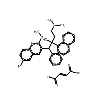 COc1nc2ccc(Br)cc2cc1C(c1ccccc1)C(O)(CCN(C)C)c1cccc2ccccc12.O=C(O)/C=C/C(=O)O